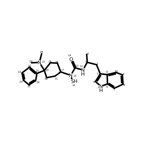 CC(Cc1c[nH]c2ccccc12)NC(=O)N(S)C1CCC(c2ccccc2)(N(C)C)CC1